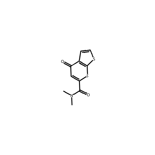 CN(C)C(=O)c1cc(=O)c2ccsc2s1